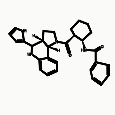 O=C(N[C@@H]1CCCC[C@@H]1C(=O)N1CC[C@H]2C(c3ccc[nH]3)Nc3ccccc3[C@H]21)c1ccccc1